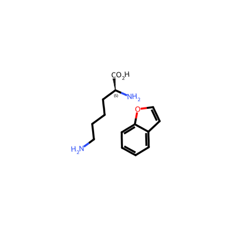 NCCCC[C@H](N)C(=O)O.c1ccc2occc2c1